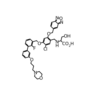 O=C(O)C(CO)NCc1cc(Cl)c(OCc2cccc(-c3cccc(OCCCN4CCOCC4)c3)c2F)cc1OCc1ccc2nonc2c1